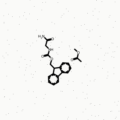 COC(C)=O.NC(=O)CNC(=O)OCC1c2ccccc2-c2ccccc21